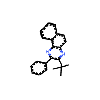 CC(C)(C)c1nc2ccc3ccccc3c2nc1-c1ccccc1